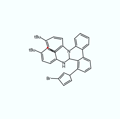 CC(C)(C)c1ccc(NC2c3c(cccc3C3C=CC(Br)=C3)-c3ccccc3N2c2ccc(C(C)(C)C)cc2)cc1